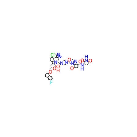 COc1ccc(C(=O)NC2CCC(=O)NC2=O)c2nc(C)n(CC(=O)N3CCN(CCn4c(C(=O)O)c(CCCOc5cccc6cc(F)ccc56)c5ccc(Cl)c(-c6c(C)nn(C)c6C)c54)CC3)c12